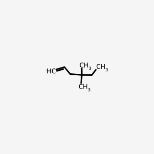 [CH]=CCC(C)(C)CC